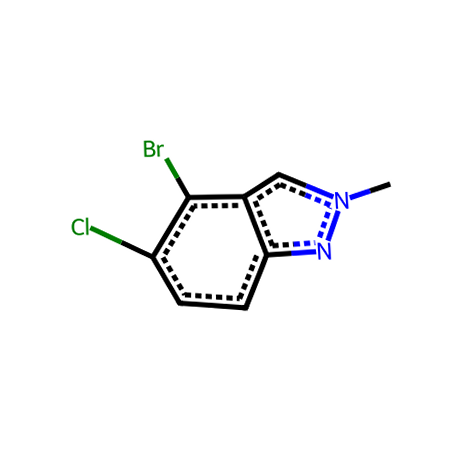 Cn1cc2c(Br)c(Cl)ccc2n1